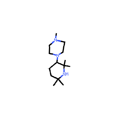 CN1CCN(C2[CH]CC(C)(C)NC2(C)C)CC1